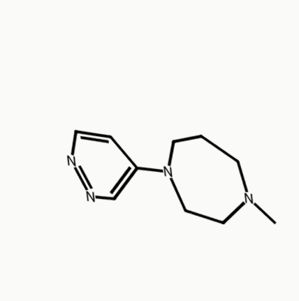 CN1CCCN(c2ccnnc2)CC1